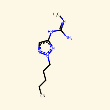 C/N=C(/N)Nc1cnn(CCCCC#N)n1